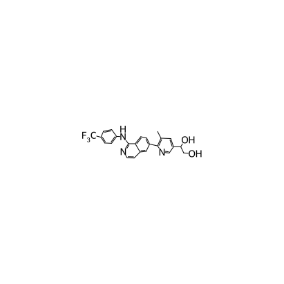 Cc1cc(C(O)CO)cnc1-c1ccc2c(Nc3ccc(C(F)(F)F)cc3)nccc2c1